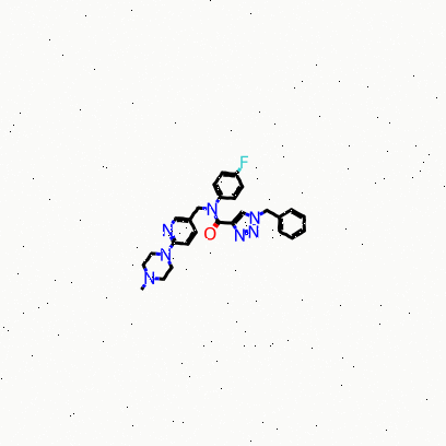 CN1CCN(c2ccc(CN(C(=O)c3cn(Cc4ccccc4)nn3)c3ccc(F)cc3)cn2)CC1